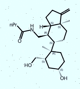 C=C1CC[C@H]2[C@H](CNC(=O)CCC)[C@@H]([C@@]3(C)CC[C@H](O)C[C@@H]3CO)CC[C@]12C